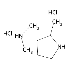 CC1CCCN1.CNC.Cl.Cl